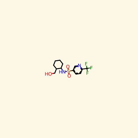 O=S(=O)(NC1CCCCC1CO)c1ccc(C(F)(F)F)nc1